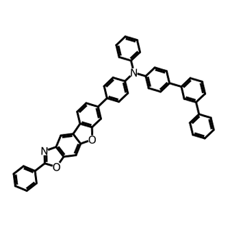 c1ccc(-c2cccc(-c3ccc(N(c4ccccc4)c4ccc(-c5ccc6c(c5)oc5cc7oc(-c8ccccc8)nc7cc56)cc4)cc3)c2)cc1